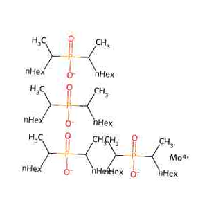 CCCCCCC(C)P(=O)([O-])C(C)CCCCCC.CCCCCCC(C)P(=O)([O-])C(C)CCCCCC.CCCCCCC(C)P(=O)([O-])C(C)CCCCCC.CCCCCCC(C)P(=O)([O-])C(C)CCCCCC.[Mo+4]